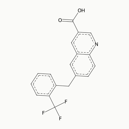 O=C(O)c1cnc2ccc(Cc3ccccc3C(F)(F)F)cc2c1